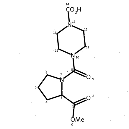 COC(=O)C1CCCN1C(=O)N1CCN(C(=O)O)CC1